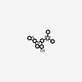 N#Cc1ccc(-c2cc(-c3nc(-c4ccccc4)nc(-c4ccccc4)n3)ccc2-n2c3ccccc3c3cc4c(cc32)sc2ccccc24)cc1